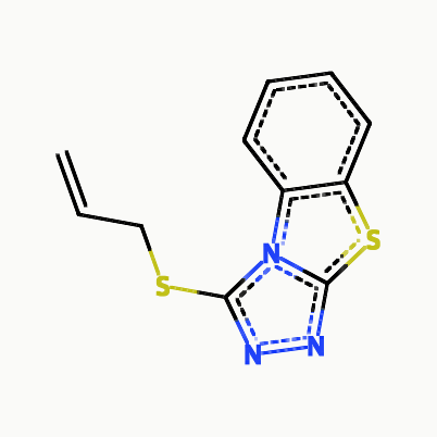 C=CCSc1nnc2sc3ccccc3n12